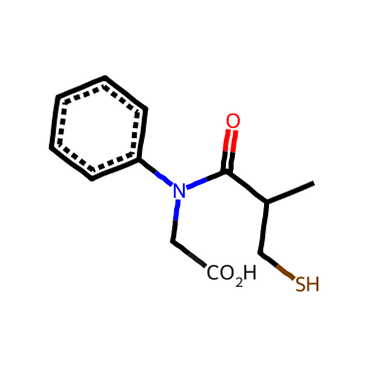 CC(CS)C(=O)N(CC(=O)O)c1ccccc1